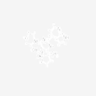 CC1COCCN1c1cc(C2(C)CCCS2(=O)=O)nc(-c2ccnc3[nH]ccc23)n1